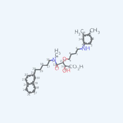 Cc1ccc(NCCCCOC(C(=O)N(C)CCCCCc2ccc3ccccc3c2)C(O)C(=O)O)cc1C